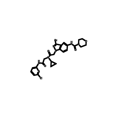 CC(=O)c1nn(CC(=O)N(CC(=O)Nc2cccc(Cl)n2)C2CC2)c2ccc(NC(=O)N3CCOCC3)cc12